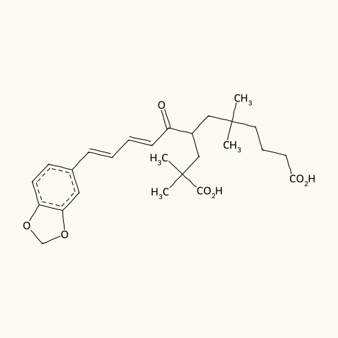 CC(C)(CCCC(=O)O)CC(CC(C)(C)C(=O)O)C(=O)C=CC=Cc1ccc2c(c1)OCO2